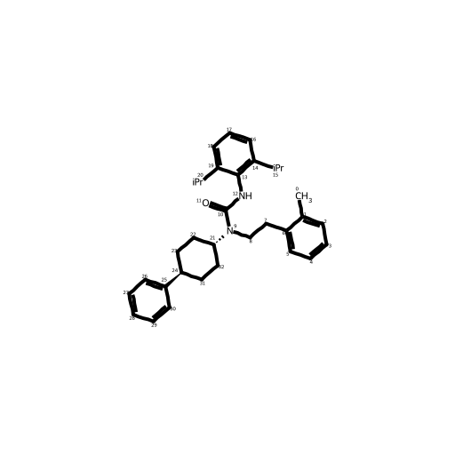 Cc1ccccc1CCN(C(=O)Nc1c(C(C)C)cccc1C(C)C)[C@H]1CC[C@H](c2ccccc2)CC1